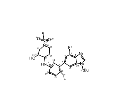 CC(C)(C)n1cnc2c(F)cc(-c3nc(NC4CCN(S(C)(=O)=O)CC4O)ncc3F)cc21